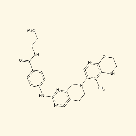 COCCNC(=O)c1ccc(Nc2ncc3c(n2)CN(c2cnc4c(c2C)NCCO4)CC3)cc1